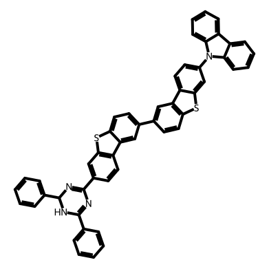 c1ccc(C2=NC(c3ccc4c(c3)sc3ccc(-c5ccc6sc7cc(-n8c9ccccc9c9ccccc98)ccc7c6c5)cc34)=NC(c3ccccc3)N2)cc1